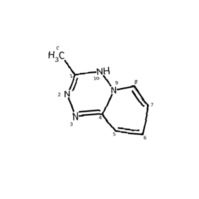 CC1=NN=C2C=CC=CN2N1